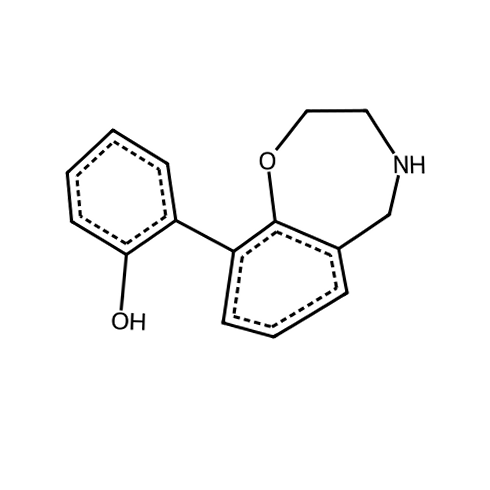 Oc1ccccc1-c1cccc2c1OCCNC2